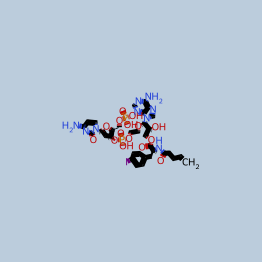 C=CCCC(=O)N[C@@H](Cc1ccc(I)cc1)C(=O)OC[C@@H](O)[C@@H](OCCOP(=O)(O)O[C@H]1C[C@H](n2ccc(N)nc2=O)O[C@@H]1COP(=O)(O)O)n1cnc2c(N)ncnc21